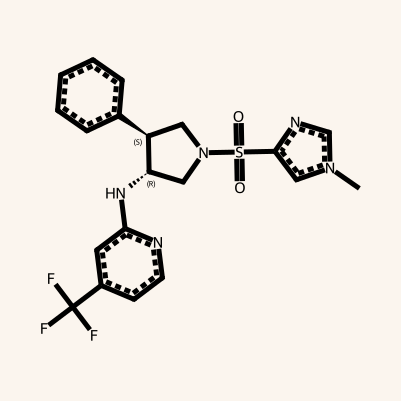 Cn1cnc(S(=O)(=O)N2C[C@H](Nc3cc(C(F)(F)F)ccn3)[C@@H](c3ccccc3)C2)c1